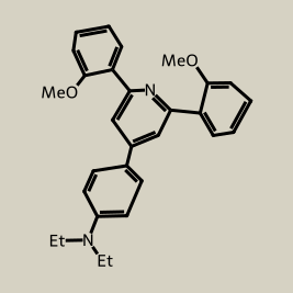 CCN(CC)c1ccc(-c2cc(-c3ccccc3OC)nc(-c3ccccc3OC)c2)cc1